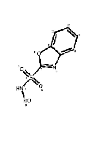 O=NNS(=O)(=O)c1nc2ccccc2o1